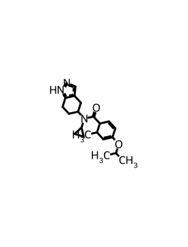 CC(C)OC1=CC(C)C(C(=O)N(C2CC2)C2CCc3[nH]ncc3C2)C=C1